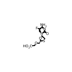 Nc1nc(=O)n([C@H]2CS[C@@H](COCC(=O)O)O2)cc1F